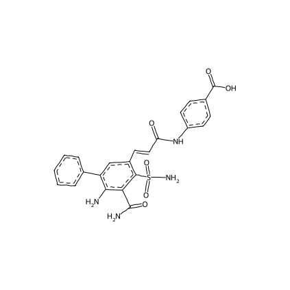 NC(=O)c1c(N)c(-c2ccccc2)cc(/C=C/C(=O)Nc2ccc(C(=O)O)cc2)c1S(N)(=O)=O